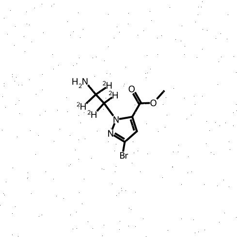 [2H]C([2H])(N)C([2H])([2H])n1nc(Br)cc1C(=O)OC